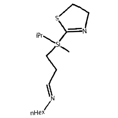 CCCCCCN=CCC[Si](C)(C1=NCCS1)C(C)C